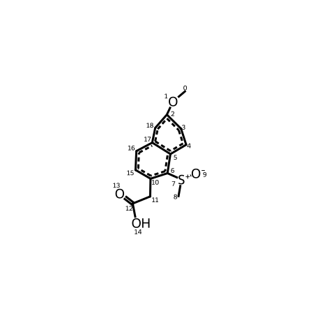 COc1ccc2c([S+](C)[O-])c(CC(=O)O)ccc2c1